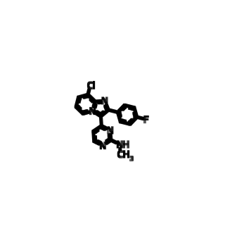 CNc1nccc(-c2c(-c3ccc(F)cc3)nc3c(Cl)cccn23)n1